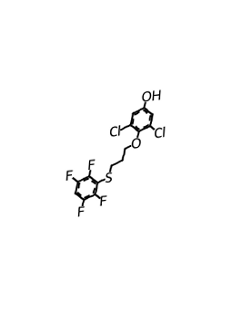 Oc1cc(Cl)c(OCCCSc2c(F)c(F)cc(F)c2F)c(Cl)c1